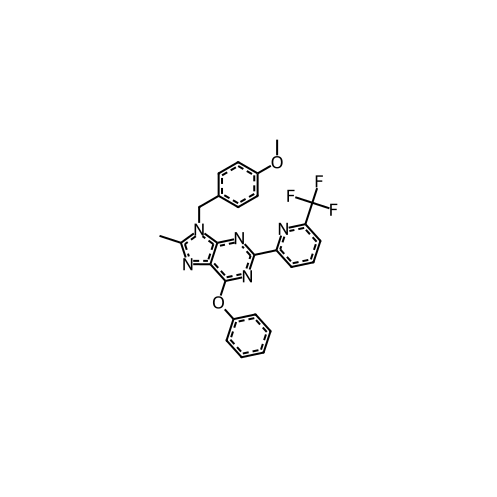 COc1ccc(Cn2c(C)nc3c(Oc4ccccc4)nc(-c4cccc(C(F)(F)F)n4)nc32)cc1